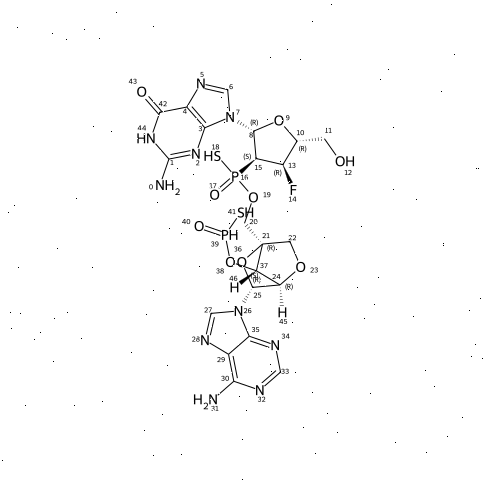 Nc1nc2c(ncn2[C@@H]2O[C@H](CO)[C@@H](F)[C@H]2P(=O)(S)OC[C@@]23CO[C@@H]([C@H](n4cnc5c(N)ncnc54)O2)[C@@H]3O[PH](=O)S)c(=O)[nH]1